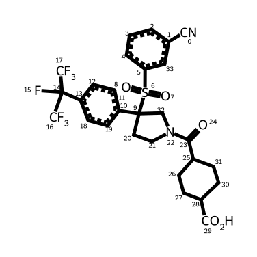 N#Cc1cccc(S(=O)(=O)C2(c3ccc(C(F)(C(F)(F)F)C(F)(F)F)cc3)CCN(C(=O)C3CCC(C(=O)O)CC3)C2)c1